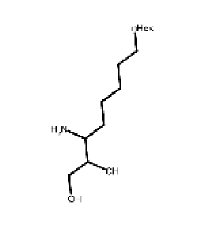 CCCCCCCCCCCC(N)C(O)CO